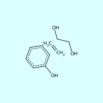 C=C.OCCO.Oc1ccccc1